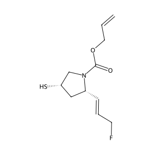 C=CCOC(=O)N1C[C@@H](S)C[C@H]1C=CCF